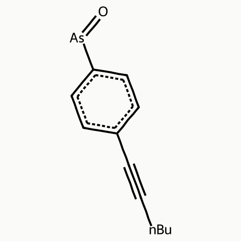 CCCCC#Cc1ccc([As]=O)cc1